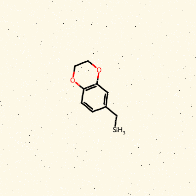 [SiH3]Cc1ccc2c(c1)OCCO2